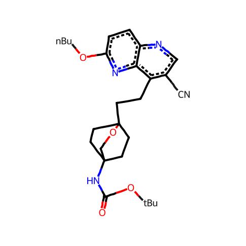 CCCCOc1ccc2ncc(C#N)c(CCC34CCC(NC(=O)OC(C)(C)C)(CC3)CO4)c2n1